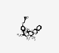 CC(ON1C(C)(C)CC2(CC1(C)C)OCC1(CC=CCC1)CO2)c1ccc(OCC2CO2)cc1